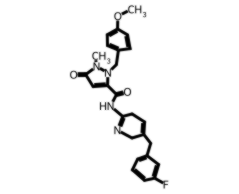 COc1ccc(Cn2c(C(=O)NC3=NCC(Cc4cccc(F)c4)=CC3)cc(=O)n2C)cc1